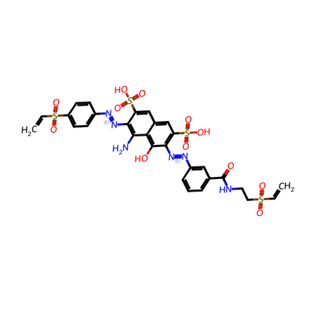 C=CS(=O)(=O)CCNC(=O)c1cccc(/N=N/c2c(S(=O)(=O)O)cc3cc(S(=O)(=O)O)c(/N=N/c4ccc(S(=O)(=O)C=C)cc4)c(N)c3c2O)c1